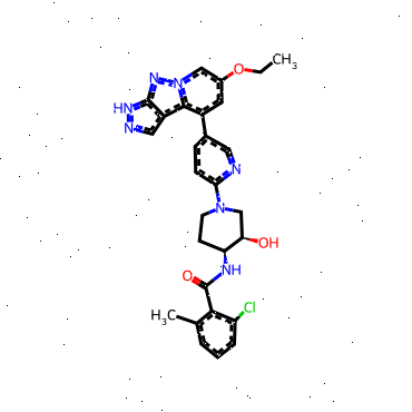 CCOc1cc(-c2ccc(N3CC[C@H](NC(=O)c4c(C)cccc4Cl)[C@H](O)C3)nc2)c2c3cn[nH]c3nn2c1